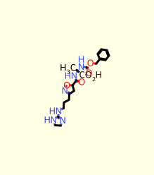 CC(NC(=O)OCc1ccccc1)(NC(=O)C1CC(CCCNC2=NCCN2)=NO1)C(=O)O